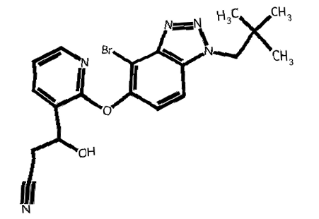 CC(C)(C)Cn1nnc2c(Br)c(Oc3ncccc3C(O)CC#N)ccc21